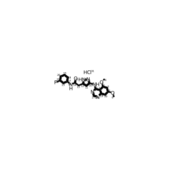 COc1cc(OC)c2c(Nc3cc(CC(=O)Nc4cccc(F)c4)[nH]n3)ncnc2c1.Cl